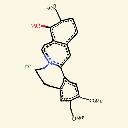 COc1cc2c(cc1OC)-c1cc3ccc(OC)c(O)c3c[n+]1CC2.[Cl-]